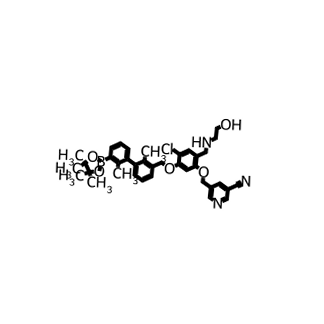 Cc1c(COc2cc(OCc3cncc(C#N)c3)c(CNCCO)cc2Cl)cccc1-c1cccc(B2OC(C)(C)C(C)(C)O2)c1C